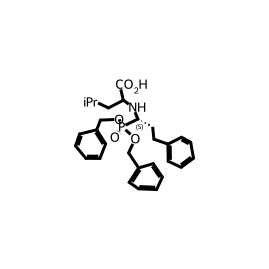 CC(C)CC(N[C@H](CCc1ccccc1)P(=O)(OCc1ccccc1)OCc1ccccc1)C(=O)O